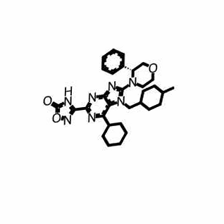 CC1CCC(Cn2c(N3CCOC[C@H]3c3ccccc3)nc3nc(-c4noc(=O)[nH]4)nc(C4CCCCC4)c32)CC1